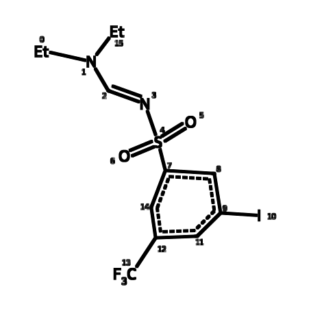 CCN(C=NS(=O)(=O)c1cc(I)cc(C(F)(F)F)c1)CC